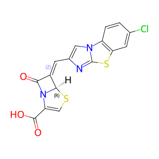 O=C(O)C1=CS[C@@H]2/C(=C\c3cn4c(n3)sc3cc(Cl)ccc34)C(=O)N12